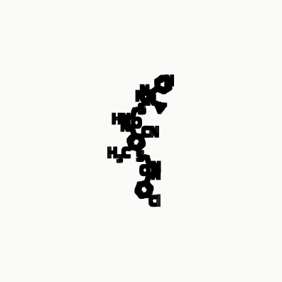 Cc1cc(C2=NNC(CSc3nnc(-c4ccncc4)n3C3CC3)O2)c(C#N)cc1SCc1nnc(-c2cccc(Cl)c2)o1